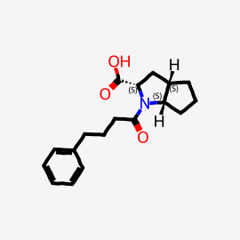 O=C(O)[C@@H]1C[C@@H]2CCC[C@@H]2N1C(=O)CCCc1ccccc1